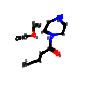 CC(C)(C)OC=O.CC(C)CCC(=O)N1CCNCC1